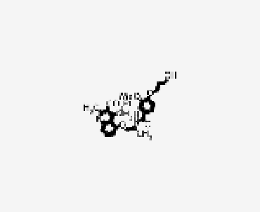 CCOC(=O)c1c(C)nc2cccc(OCC(C)NC(=O)c3ccc(OCCCO)c(OC)c3)c2c1N